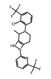 CC1c2[nH]n(-c3cccc(C(F)(F)F)n3)c2CCN1c1cccc(C(F)(F)F)c1Cl